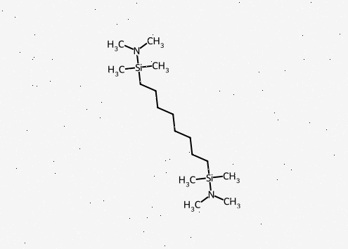 CN(C)[Si](C)(C)CCCCCCCC[Si](C)(C)N(C)C